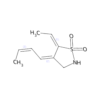 C\C=C/C=C1/CNS(=O)(=O)/C1=C/C